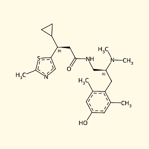 Cc1ncc([C@H](CC(=O)NC[C@H](Cc2c(C)cc(O)cc2C)N(C)C)C2CC2)s1